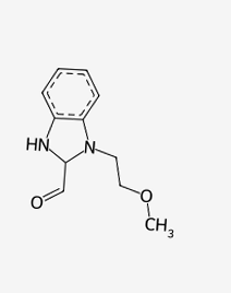 COCCN1c2ccccc2NC1C=O